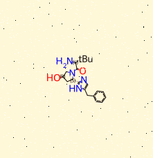 CC(C)(C)[C@H](N)C(=O)N1C[C@H](O)C[C@H]1c1ncc(Cc2ccccc2)[nH]1